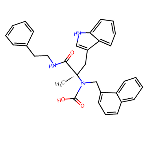 C[C@@](Cc1c[nH]c2ccccc12)(C(=O)NCCc1ccccc1)N(Cc1cccc2ccccc12)C(=O)O